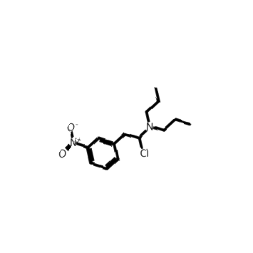 CCCN(CCC)C(Cl)Cc1cccc([N+](=O)[O-])c1